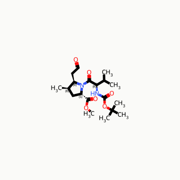 COC(=O)[C@@H]1C[C@@H](C)[C@@H](CC=O)N1C(=O)[C@H](NC(=O)OC(C)(C)C)C(C)C